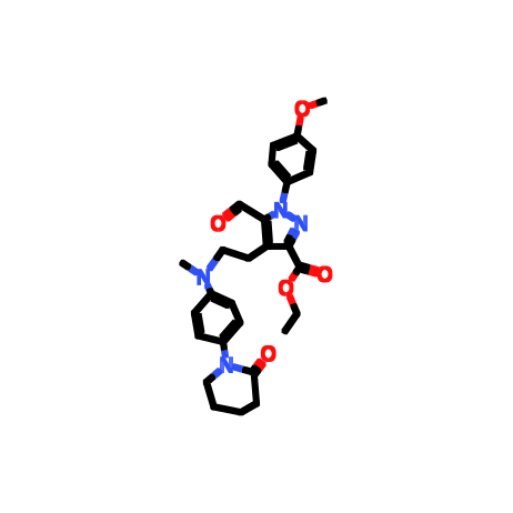 CCOC(=O)c1nn(-c2ccc(OC)cc2)c(C=O)c1CCN(C)c1ccc(N2CCCCC2=O)cc1